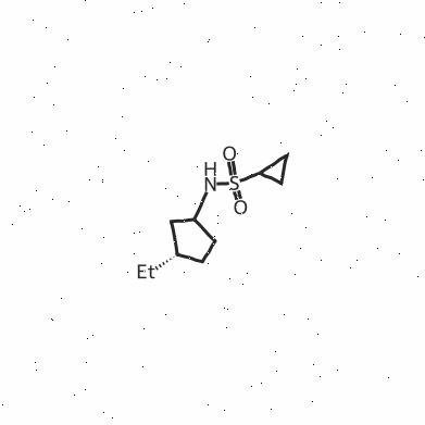 CC[C@H]1CCC(NS(=O)(=O)C2CC2)C1